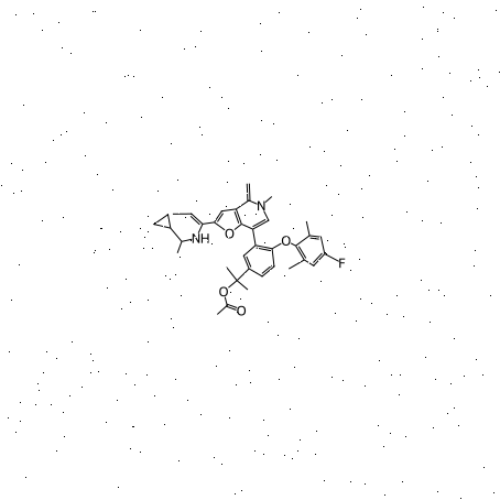 C=C1c2cc(/C(=C/C)NC(C)C3CC3)oc2C(c2cc(C(C)(C)OC(C)=O)ccc2Oc2c(C)cc(F)cc2C)=CN1C